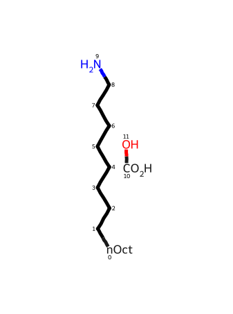 CCCCCCCCCCCCCCCCN.O=C(O)O